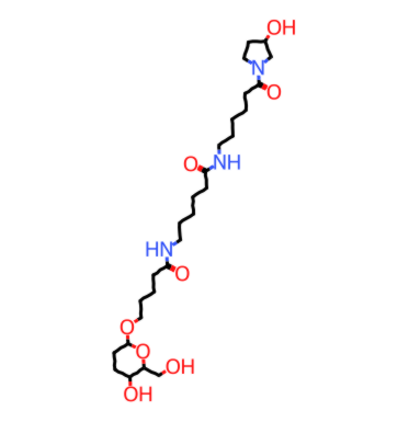 O=C(CCCCCNC(=O)CCCCOC1CCC(O)C(CO)O1)NCCCCCC(=O)N1CCC(O)C1